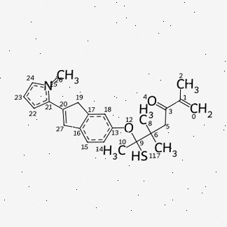 C=C(C)C(=O)CC(C)(C)C(C)(S)Oc1ccc2c(c1)CC(c1cccn1C)=C2